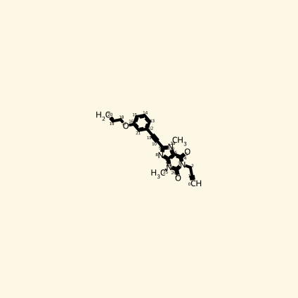 C#CCn1c(=O)c2c(nc(C#Cc3cccc(OCC=C)c3)n2C)n(C)c1=O